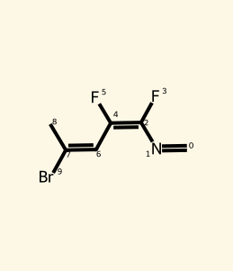 C=N/C(F)=C(F)\C=C(/C)Br